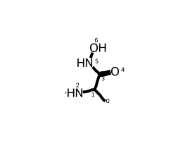 CC([NH])C(=O)NO